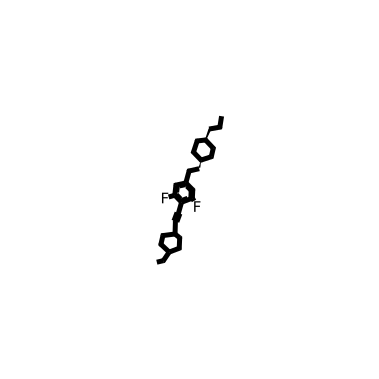 CCC[C@H]1CC[C@H](CCc2cc(F)c(C#CC3CCC(CC)CC3)c(F)c2)CC1